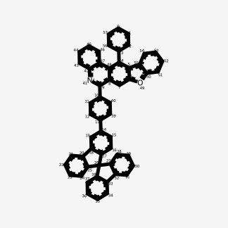 c1ccc(-c2c3c(cc4c(-c5ccc(-c6ccc7c(c6)-c6ccccc6C76c7ccccc7-c7ccccc76)cc5)nc5ccccc5c24)oc2ccccc23)cc1